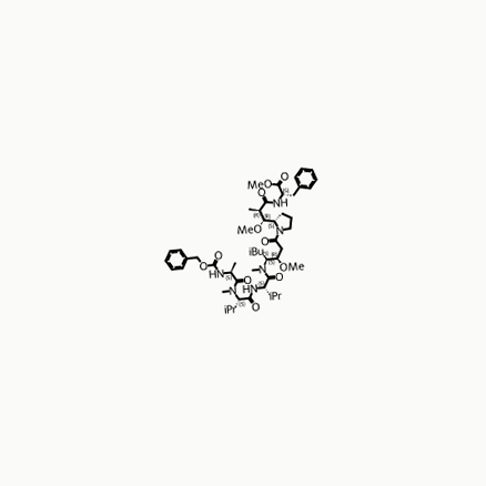 CC[C@H](C)[C@@H]([C@@H](CC(=O)N1CCC[C@H]1[C@H](OC)[C@@H](C)C(=O)N[C@@H](Cc1ccccc1)C(=O)OC)OC)N(C)C(=O)[C@@H](NC(=O)[C@H](C(C)C)N(C)C(=O)[C@H](C)NC(=O)OCc1ccccc1)C(C)C